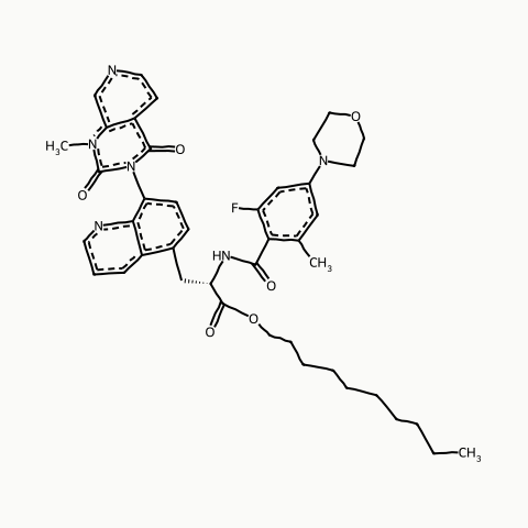 CCCCCCCCCCOC(=O)[C@H](Cc1ccc(-n2c(=O)c3ccncc3n(C)c2=O)c2ncccc12)NC(=O)c1c(C)cc(N2CCOCC2)cc1F